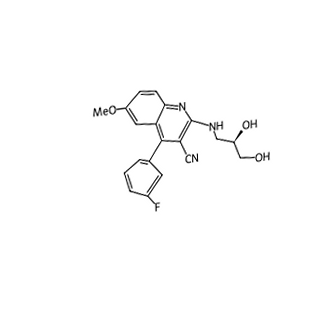 COc1ccc2nc(NC[C@@H](O)CO)c(C#N)c(-c3cccc(F)c3)c2c1